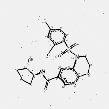 O=C(N[C@H]1CCC[C@@H]1O)c1cnc2c(c1)N(S(=O)(=O)c1ccc(Cl)cc1F)CCO2